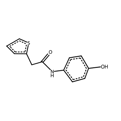 O=C(Cc1cccs1)Nc1ccc(O)cc1